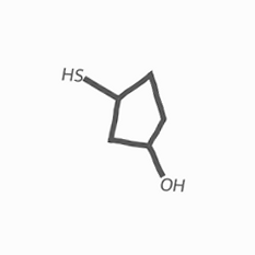 OC1CCC(S)C1